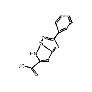 O=C(O)c1cc2nc(-c3ccccc3)nn2[nH]1